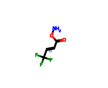 NOC(=O)/C=C/C(F)(F)F